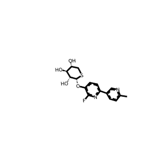 Cc1ccc(-c2ccc(O[C@H]3SC[C@@H](O)[C@H](O)[C@H]3O)c(F)n2)cn1